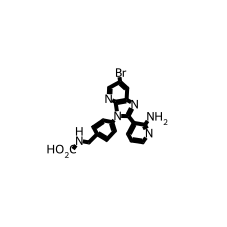 Nc1ncccc1-c1nc2cc(Br)cnc2n1-c1ccc(CNC(=O)O)cc1